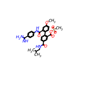 COc1ccc(-c2ccc(C(=O)NCC(C)C)cc2C(=O)OS(C)(=O)=O)c(C(=O)Nc2ccc(C(=N)N)cc2)c1